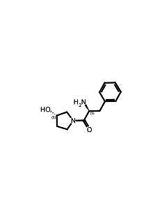 N[C@@H](Cc1ccccc1)C(=O)N1CC[C@H](O)C1